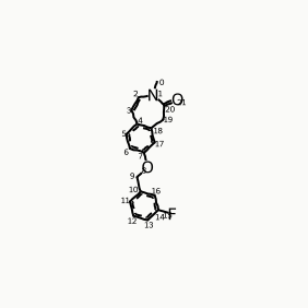 CN1C=Cc2ccc(OCc3cccc(F)c3)cc2CC1=O